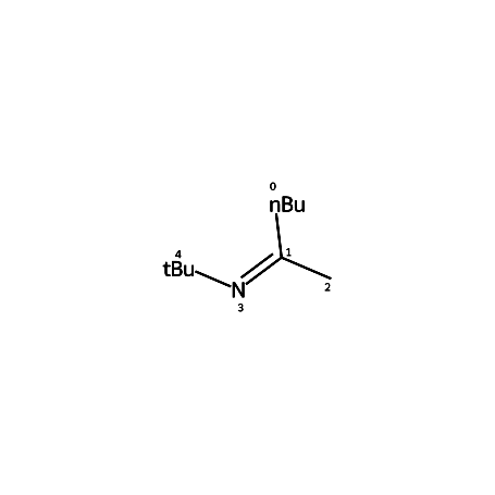 CCCC/C(C)=N\C(C)(C)C